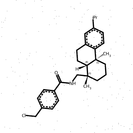 CC(C)c1ccc2c(c1)CC[C@H]1[C@@](C)(CNC(=O)c3ccc(CCl)cc3)CCC[C@]21C